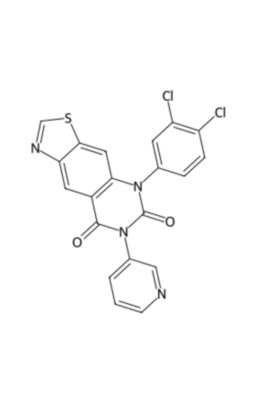 O=c1c2cc3ncsc3cc2n(-c2ccc(Cl)c(Cl)c2)c(=O)n1-c1cccnc1